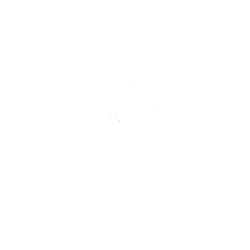 C#CCCN(CCC)CCC